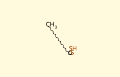 CCCCCCCCCCCCCCCCc1ccsc1S